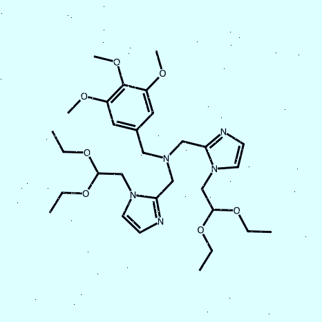 CCOC(Cn1ccnc1CN(Cc1cc(OC)c(OC)c(OC)c1)Cc1nccn1CC(OCC)OCC)OCC